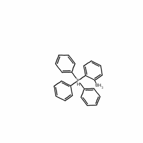 Bc1ccccc1[PH](c1ccccc1)(c1ccccc1)c1ccccc1